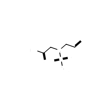 C=CCN(CC(=O)O)S(N)(=O)=O